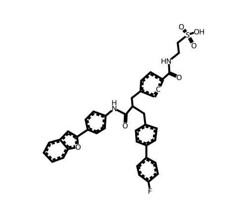 O=C(NCCS(=O)(=O)O)c1ccc(CC(Cc2ccc(-c3ccc(F)cc3)cc2)C(=O)Nc2ccc(-c3cc4ccccc4o3)cc2)cc1